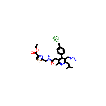 CCOC(=O)c1csc(CNC(=O)Cc2c(C)nc(CC(C)C)c(CN)c2-c2ccc(C)cc2)n1.Cl.Cl